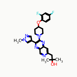 Cn1cc(-c2nc3cnc(CC(C)(C)O)cc3nc2N2CCC(Oc3ccc(F)cc3F)CC2)cn1